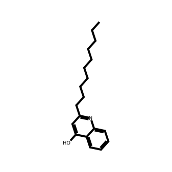 CCCCCCCCCCc1cc(O)c2ccccc2n1